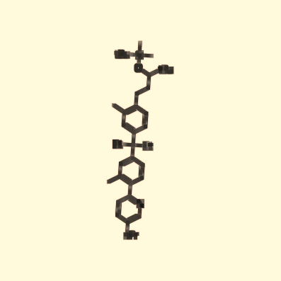 CCCc1ccc(-c2ccc(C(CC)(CC)c3ccc(CCC(O[Si](C)(C)C(C)(C)C)C(C)(C)C)c(C)c3)cc2C)nc1